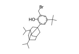 CC(C)C12CC3CC(c4cc(C(C)(C)C)cc(CBr)c4O)(C1)CC(C(C)C)(C3)C2